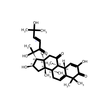 CC(C)(O)/C=C/C(=O)C(C)(O)[C@H]1[C@H](O)C[C@@]2(C)[C@]3(C)CC=C4[C@@H](C=C(O)C(=O)C4(C)C)[C@]3(C)C(=O)C[C@]12C